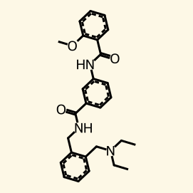 CCN(CC)Cc1ccccc1CNC(=O)c1cccc(NC(=O)c2ccccc2OC)c1